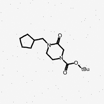 CC(C)(C)OC(=O)N1CCN(CC2CCCC2)C(=O)C1